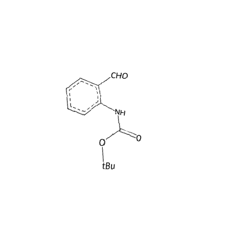 CC(C)(C)OC(=O)Nc1ccccc1C=O